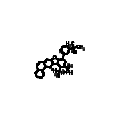 [2H]C([2H])([2H])c1cc(-c2cc(C([2H])(C)C)ccn2)c2oc3cc4ccc5ccccc5c4cc3c2c1C([2H])([2H])[2H]